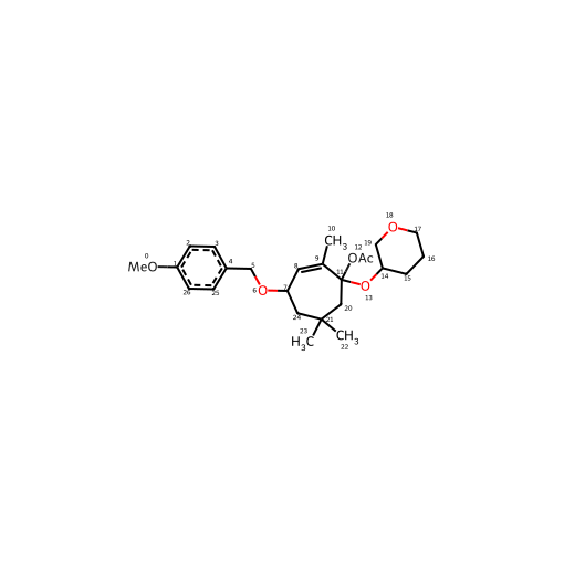 COc1ccc(COC2C=C(C)C(OC(C)=O)(OC3CCCOC3)CC(C)(C)C2)cc1